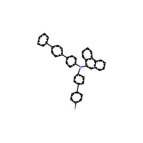 Fc1ccc(-c2ccc(N(c3ccc(-c4ccc(-c5ccccc5)cc4)cc3)c3cc4ccccc4c4ccccc34)cc2)cc1